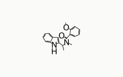 COc1ccccc1C(=O)N(C)C(C)c1cc2ccccc2[nH]1